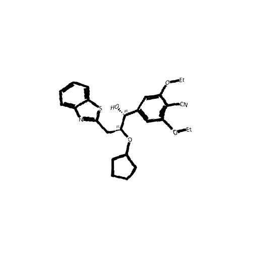 CCOc1cc([C@@H](O)[C@H](Cc2nc3ccccc3s2)OC2CCCC2)cc(OCC)c1C#N